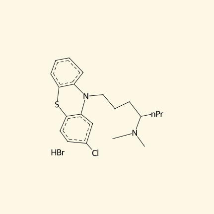 Br.CCCC(CCCN1c2ccccc2Sc2ccc(Cl)cc21)N(C)C